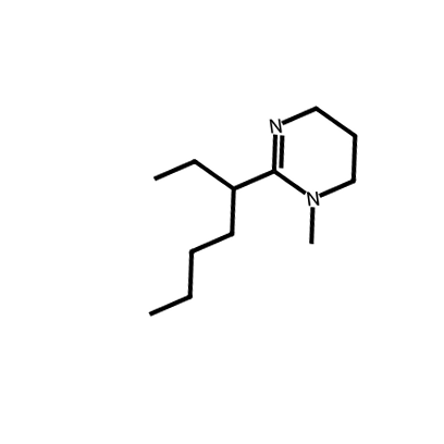 CCCCC(CC)C1=NCCCN1C